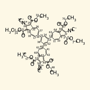 [C-]#[N+]c1c(C(=O)OCC)c2ccc(-c3cc(-c4ccc5c(C(=O)OCC)c([N+]#[C-])c(C(=O)OCC)c-5cc4)cc(-c4ccc5c(C(=O)OCC)c([N+]#[C-])c(C(=O)OCC)c-5cc4)c3)ccc-2c1C(=O)OCC